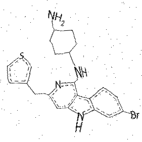 NC1CCC(Nc2nc(Cc3ccsc3)cc3[nH]c4cc(Br)ccc4c23)CC1